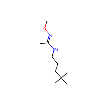 CO/N=C(\C)NCCCC(C)(C)C